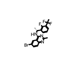 Cc1nc(N[C@H](C)c2cccc(C(C)(F)F)c2F)c2cc(Br)ccc2n1